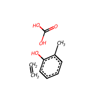 C=C.Cc1ccccc1O.O=C(O)O